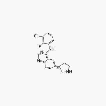 Fc1c(Cl)cccc1Nc1ncnc2ccc([C@H]3CCNC3)cc12